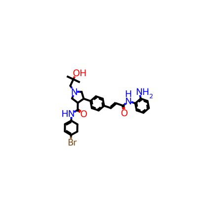 CC(C)(O)CN1CC(C(=O)NC2=CC=C(Br)CC2)C(c2ccc(/C=C/C(=O)Nc3ccccc3N)cc2)C1